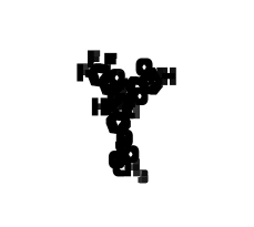 COC(=O)COc1ccc(Nc2nc(=O)n(Cc3ccc[nH]c3=O)c(=O)n2Cc2cc(F)c(F)c(F)c2)c(Cl)c1